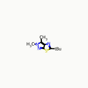 Cc1c2nc(C(C)(C)C)sc2nn1C